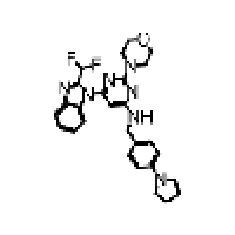 FC(F)c1nc2ccccc2n1-c1cc(NCc2ccc(N3CCCC3)cc2)nc(N2CCOCC2)n1